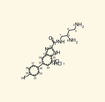 Cl.Cl.NCCC(N)CNC(=O)c1nc2cc(-c3ccc(F)cc3)ccc2[nH]1